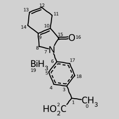 CC(C(=O)O)c1ccc(N2CC3=C(CC=CC3)C2=O)cc1.[BiH3]